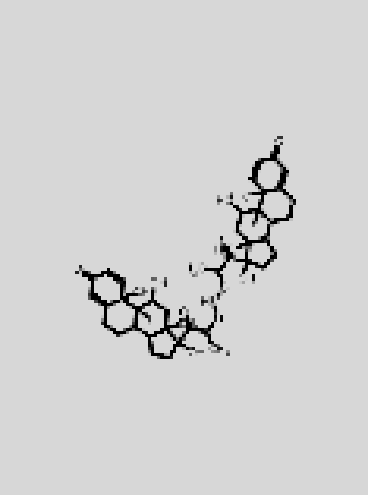 CC(OBOC(C)C(=O)C1(O)CCC2C3CCC4=CC(=O)C=CC4(C)C3(F)C(O)CC21C)C(=O)C1(O)CCC2C3CCC4=CC(=O)C=CC4(C)C3(F)C(O)CC21C